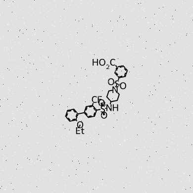 CCOc1ccccc1-c1ccc(S(=O)(=O)NC2CCN(S(=O)(=O)c3cccc(C(=O)O)c3)CC2)c(C(F)(F)F)c1